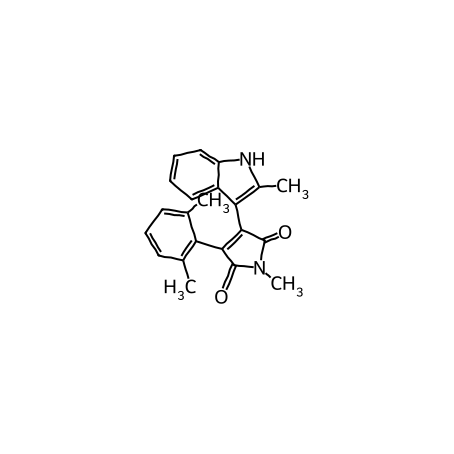 Cc1cccc(C)c1C1=C(c2c(C)[nH]c3ccccc23)C(=O)N(C)C1=O